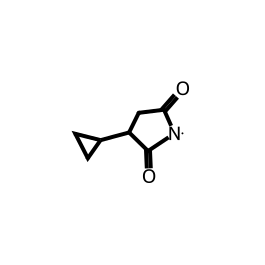 O=C1CC(C2CC2)C(=O)[N]1